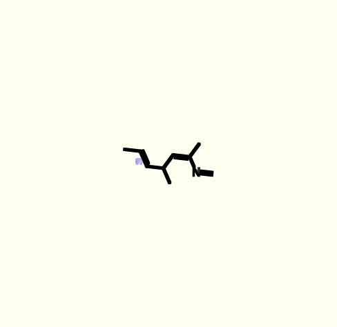 C=NC(C)=CC(C)/C=C/C